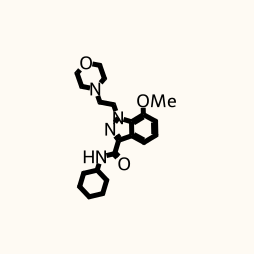 COc1cccc2c(C(=O)NC3CCCCC3)nn(CCN3CCOCC3)c12